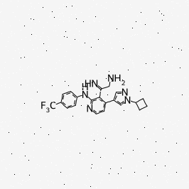 N=C(CN)c1c(-c2cnn(C3CCC3)c2)ccnc1Nc1ccc(C(F)(F)F)cc1